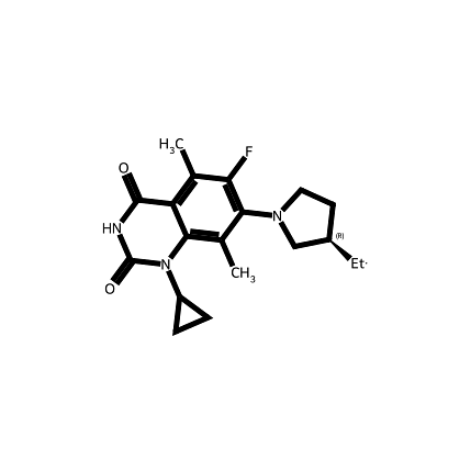 C[CH][C@@H]1CCN(c2c(F)c(C)c3c(=O)[nH]c(=O)n(C4CC4)c3c2C)C1